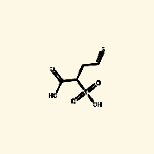 O=C(O)C(CC=S)S(=O)(=O)O